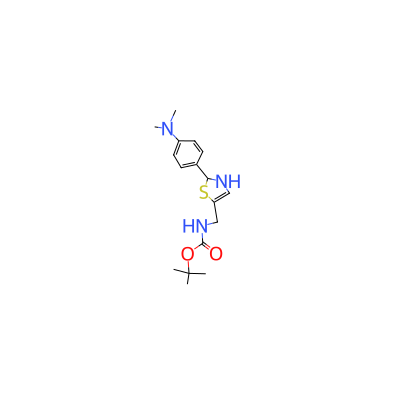 CN(C)c1ccc(C2NC=C(CNC(=O)OC(C)(C)C)S2)cc1